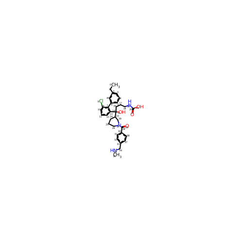 CCc1cccc(-c2c(Cl)cccc2C(O)(CCCNC(=O)O)C2CCCN(C(=O)c3ccc(CNC)cc3)C2)c1